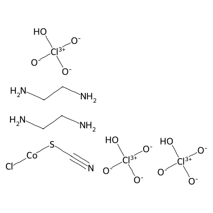 N#C[S][Co][Cl].NCCN.NCCN.[O-][Cl+3]([O-])([O-])O.[O-][Cl+3]([O-])([O-])O.[O-][Cl+3]([O-])([O-])O